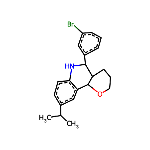 CC(C)c1ccc2c(c1)C1OCCCC1C(c1cccc(Br)c1)N2